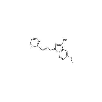 COc1ccc2c(c1)c(O)nn2C/C=C/c1ccccc1